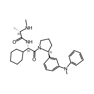 CN[C@@H](C)C(=O)N[C@H](C(=O)N1CCC[C@H]1c1cccc(N(C)c2ccccc2)c1)C1CCCCC1